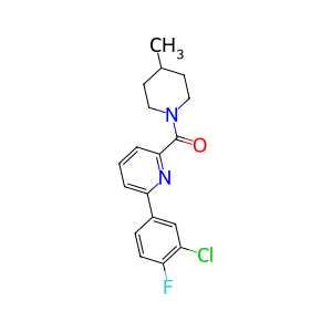 CC1CCN(C(=O)c2cccc(-c3ccc(F)c(Cl)c3)n2)CC1